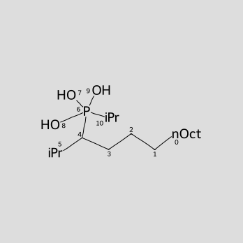 CCCCCCCCCCCC(C(C)C)P(O)(O)(O)C(C)C